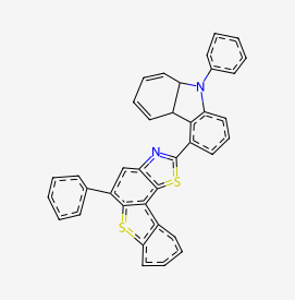 C1=CC2c3c(-c4nc5cc(-c6ccccc6)c6sc7ccccc7c6c5s4)cccc3N(c3ccccc3)C2C=C1